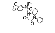 CC(C)N(C(=O)CN1C(=O)CC(=O)N(c2ccccc2)c2ccccc21)c1ccc2c(c1)OCO2